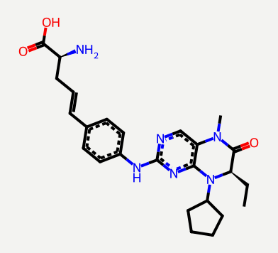 CC[C@@H]1C(=O)N(C)c2cnc(Nc3ccc(C=CC[C@H](N)C(=O)O)cc3)nc2N1C1CCCC1